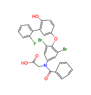 O=C(O)CN(C(=O)c1ccccc1)c1cc(Br)c(Oc2ccc(O)c(-c3ccccc3F)c2)c(Br)c1